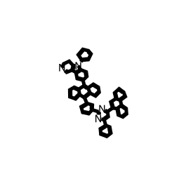 C1=NCCc2c1c1cc(-c3c4ccccc4c(-c4cccc(-c5nc(-c6ccccc6)cc(-c6cc7ccccc7c7ccccc67)n5)c4)c4ccccc34)ccc1n2-c1ccccc1